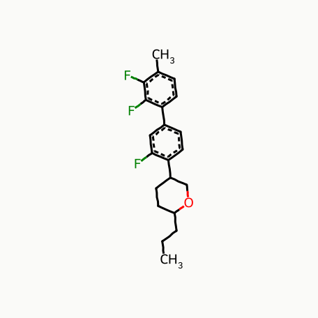 CCCC1CCC(c2ccc(-c3ccc(C)c(F)c3F)cc2F)CO1